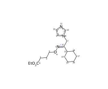 CCOC(=O)CCCO/N=C(/Cn1ccnc1)C1CCCCC1